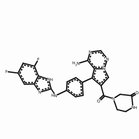 Nc1ncnn2cc(C(=O)N3CCNC(=O)C3)c(-c3ccc(Nc4nc5cc(F)cc(F)c5[nH]4)cc3)c12